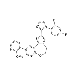 COc1ncccc1-c1ccc2c(n1)-c1sc(-c3ncnn3-c3ccc(F)cc3F)cc1CCO2